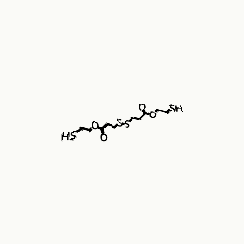 O=C(CCSSCCC(=O)OCCS)OCCS